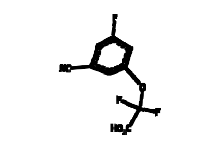 N#Cc1cc(F)cc(OC(F)(F)C(=O)O)c1